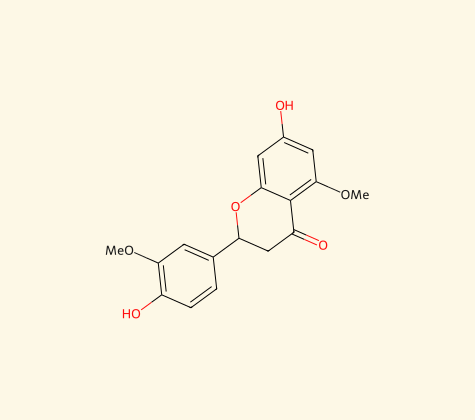 COc1cc(C2CC(=O)c3c(OC)cc(O)cc3O2)ccc1O